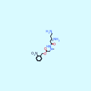 CN(CC(=O)OCc1ccccc1[N+](=O)[O-])NC(=O)C[C@@H](N)CCN